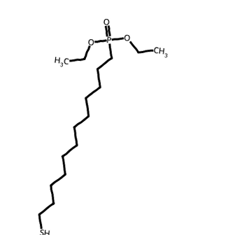 CCOP(=O)(CCCCCCCCCCCCS)OCC